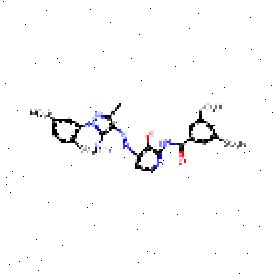 Cc1nn(-c2cc(S(=O)(=O)O)ccc2S(=O)(=O)O)c(N)c1N=Nc1ccnc(NC(=O)c2cc(S(=O)(=O)O)cc(S(=O)(=O)O)c2)c1O